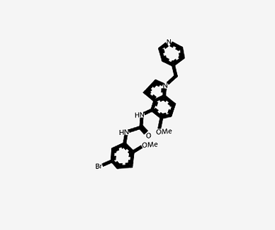 COc1ccc(Br)cc1NC(=O)Nc1c(OC)ccc2c1ccn2Cc1ccncc1